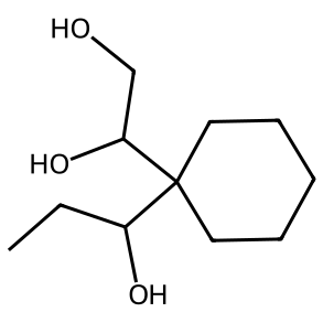 CCC(O)C1(C(O)CO)CCCCC1